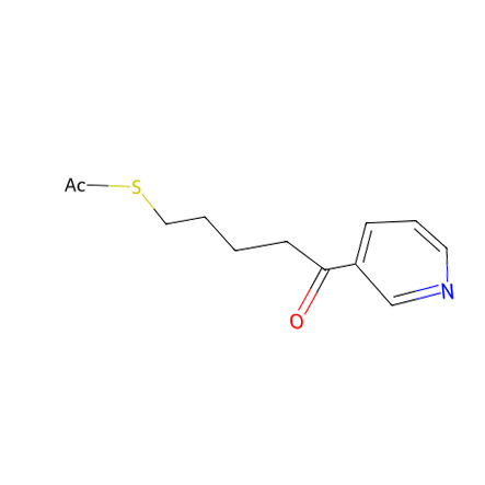 CC(=O)SCCCCC(=O)c1cccnc1